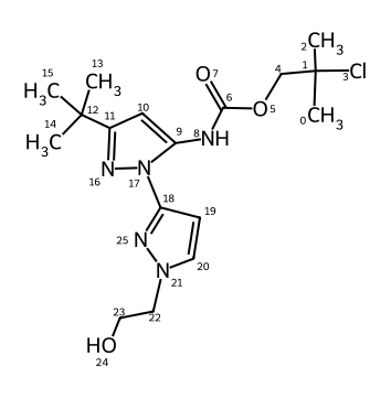 CC(C)(Cl)COC(=O)Nc1cc(C(C)(C)C)nn1-c1ccn(CCO)n1